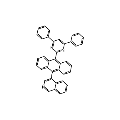 c1ccc(-c2cc(-c3ccccc3)nc(-c3c4ccccc4c(-c4cncc5ccccc45)c4ccccc34)n2)cc1